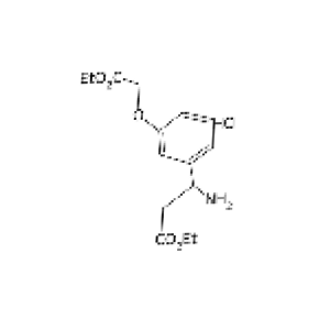 CCOC(=O)COc1cccc(C(N)CC(=O)OCC)c1.Cl